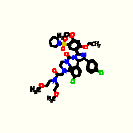 CCOc1cc(OC)c(S(=O)(=O)N2CCCCC2)cc1C1=N[C@@H](c2ccc(Cl)cc2)[C@@H](c2ccc(Cl)cc2)N1C(=O)N1CCN(CC(=O)N(CCOC)CCOC)CC1